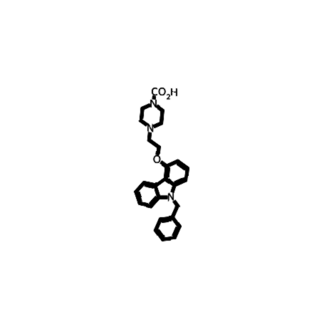 O=C(O)N1CCN(CCOc2cccc3c2c2ccccc2n3Cc2ccccc2)CC1